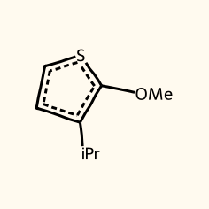 COc1sccc1C(C)C